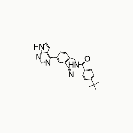 CC(C)(C)c1ccc(C(=O)NCc2ccc(-c3ncnc4[nH]ccc34)cc2C#N)cc1